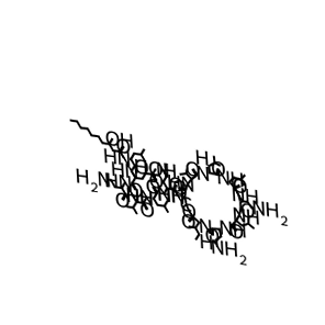 CCCCCCCC(O)CC(=O)NC(CC(C)C)C(=O)NC(CCC(=O)O)C(=O)NC(CCN)C(=O)NC(C(=O)NC(CC(C)C)C(=O)NC(CCN)C(=O)NC1COC(=O)C(C(C)CC)NC(=O)C(CCN)NC(=O)C(CC(C)C)NC(=O)C(CCN)NC(=O)C(CC(C)C)NC(=O)C(CC(C)C)NC(=O)C(C(C)C)NC1=O)C(C)C